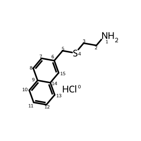 Cl.NCCSCc1ccc2ccccc2c1